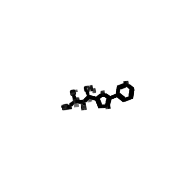 C[C@H](N[S@+]([O-])C(C)(C)C)c1cnc(-c2cccnc2)s1